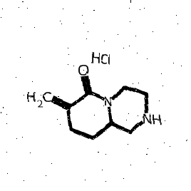 C=C1CCC2CNCCN2C1=O.Cl